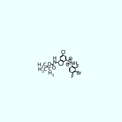 CC(C)(C)OC(=O)NC1CCc2c1cc(Cl)cc2S(=O)(=O)Nc1ccc(F)c(Br)c1F